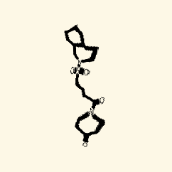 O=C1CCN(C(=O)CCCS(=O)(=O)N2CCC3CCCCC3C2)CC1